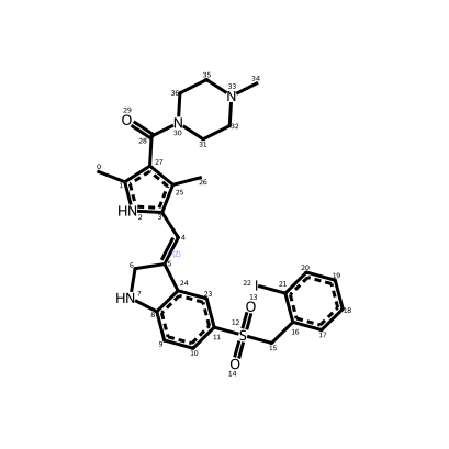 Cc1[nH]c(/C=C2\CNc3ccc(S(=O)(=O)Cc4ccccc4I)cc32)c(C)c1C(=O)N1CCN(C)CC1